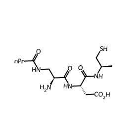 CCCC(=O)NC[C@H](N)C(=O)N[C@@H](CC(=O)O)C(=O)N[C@H](C)CS